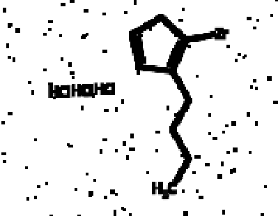 CCCCC1=[C]([Zr])CC=C1.Cl.Cl.Cl